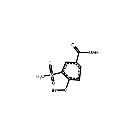 COC(=O)c1ccc(OC(C)C)c(S(C)(=O)=O)c1